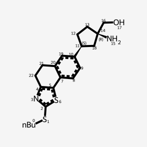 CCCCSc1nc2c(s1)-c1ccc([C@H]3CC[C@](N)(CO)C3)cc1CC2